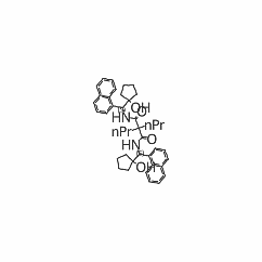 CCCC(CCC)(C(=O)N[C@@H](c1cccc2ccccc12)C1(O)CCCC1)C(=O)N[C@@H](c1cccc2ccccc12)C1(O)CCCC1